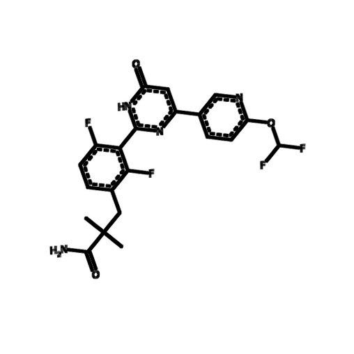 CC(C)(Cc1ccc(F)c(-c2nc(-c3ccc(OC(F)F)nc3)cc(=O)[nH]2)c1F)C(N)=O